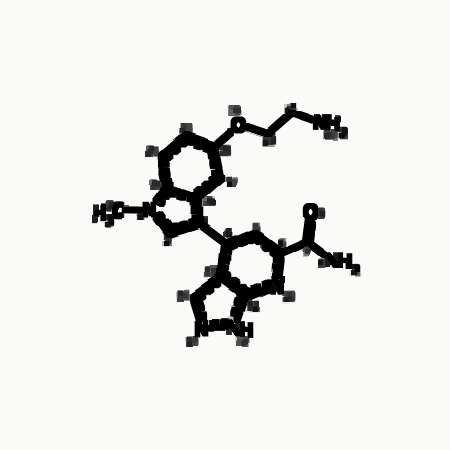 Cn1cc(-c2cc(C(N)=O)nc3[nH]ncc23)c2cc(OCCN)ccc21